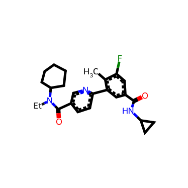 CCN(C(=O)c1ccc(-c2cc(C(=O)NC3CC3)cc(F)c2C)nc1)C1CCCCC1